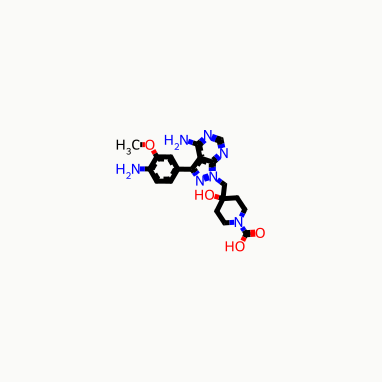 COc1cc(-c2nn(CC3(O)CCN(C(=O)O)CC3)c3ncnc(N)c23)ccc1N